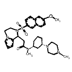 COc1ccc2cc(S(=O)(=O)N3CCn4cccc4C3CC(=O)N(C)[C@H]3CCC[C@H](N4CCN(C)CC4)C3)ccc2c1